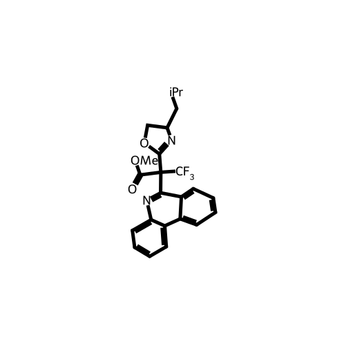 COC(=O)C(C1=NC(CC(C)C)CO1)(c1nc2ccccc2c2ccccc12)C(F)(F)F